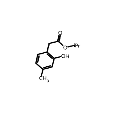 Cc1ccc(CC(=O)OC(C)C)c(O)c1